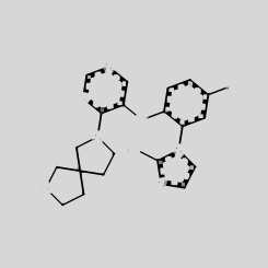 CC(C)c1nccn1-c1cc(F)ccc1Oc1cncnc1N1CCC2(CCNC2)C1